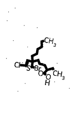 CCCCCCC1(CCCC(CC)C(=O)O)C=C(Cl)SC1Br